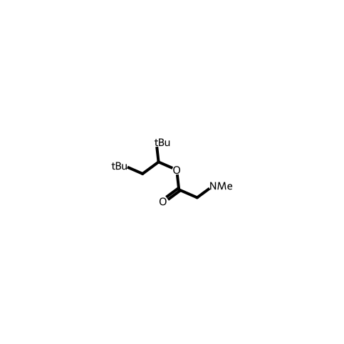 CNCC(=O)OC(CC(C)(C)C)C(C)(C)C